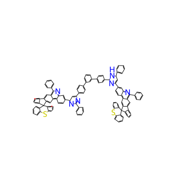 C1=C(c2ccc3c(c2)nc(-c2ccccc2)c2cc4c(cc23)C2(c3ccccc3Sc3ccccc32)c2ccccc2-4)N=C(c2ccc(-c3cccc(-c4ccc(-c5cc(-c6ccc7c(c6)nc(-c6ccccc6)c6cc8c(cc67)C6(c7ccccc7Sc7ccccc76)c6ccccc6-8)nc(-c6ccccc6)n5)cc4)c3)cc2)NC1c1ccccc1